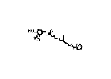 O=C(CCCCCNCCCSSc1ccccn1)OCc1ccc(CO)c([N+](=O)[O-])c1